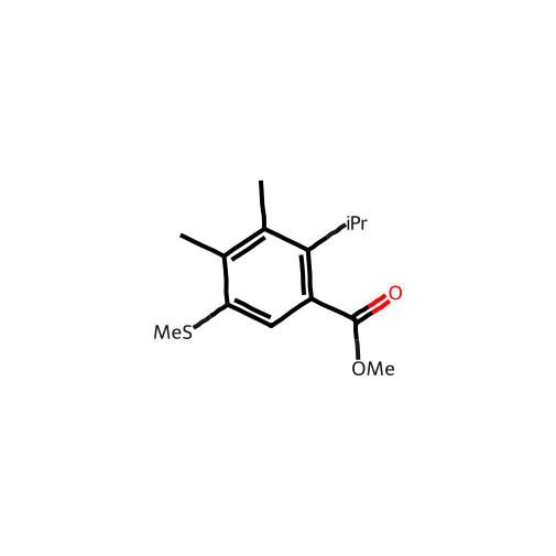 COC(=O)c1cc(SC)c(C)c(C)c1C(C)C